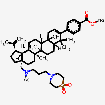 C=C(C)[C@@H]1CC[C@]2(CN(CCCN3CCS(=O)(=O)CC3)C(C)=O)CC[C@]3(C)[C@H](CC[C@@H]4C5(C)CC=C(c6ccc(C(=O)OC(C)(C)C)cc6)C(C)(C)[C@@H]5CC[C@]43C)[C@@H]12